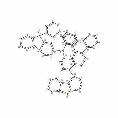 CC1(c2ccccc2)c2ccccc2-c2ccc(N(c3ccc(-c4cccc5sc6ccccc6c45)cc3)c3ccccc3-c3ccccc3-c3ccccc3-c3ccccc3)cc21